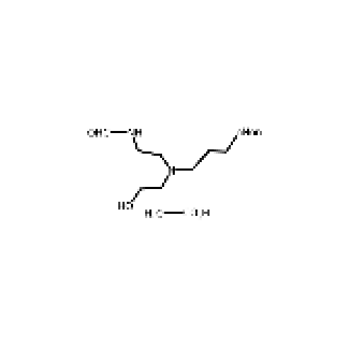 CC(=O)O.CCCCCCCCCCCCN(CCO)CCNC=O